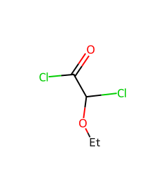 CCOC(Cl)C(=O)Cl